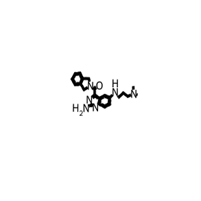 CN(C)CCCNc1ccc2nc(N)nc(C(=O)N3Cc4ccccc4C3)c2c1